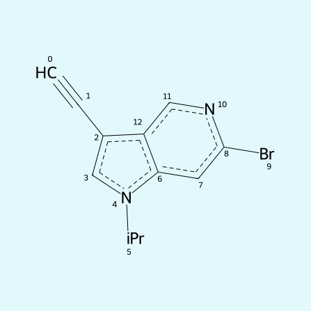 C#Cc1cn(C(C)C)c2cc(Br)ncc12